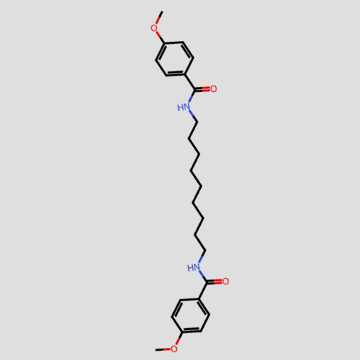 COc1ccc(C(=O)NCCCCCCCCCNC(=O)c2ccc(OC)cc2)cc1